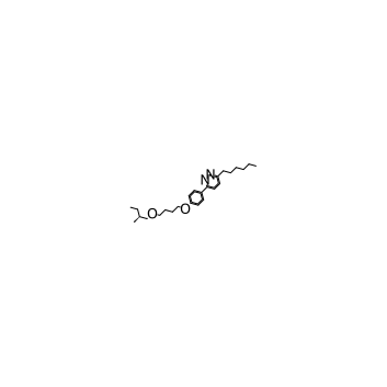 CCCCCCc1ccc(-c2ccc(OCCCCOC[C@@H](C)CC)cc2)nn1